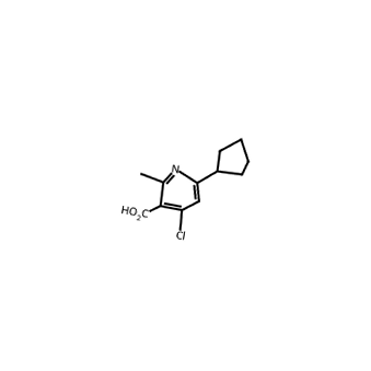 Cc1nc(C2CCCC2)cc(Cl)c1C(=O)O